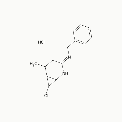 CC1C/C(=N\Cc2ccccc2)NC2C(Cl)C12.Cl